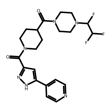 O=C(c1cc(-c2ccncc2)[nH]n1)N1CCC(C(=O)N2CCN(C(F)C(F)F)CC2)CC1